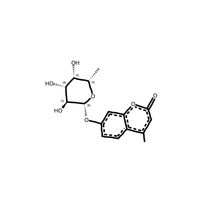 Cc1cc(=O)oc2cc(O[C@H]3O[C@@H](C)[C@@H](O)[C@@H](O)[C@@H]3O)ccc12